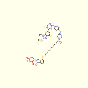 Cc1nc2c(F)cc(-c3nc(Nc4ccc(CN5CCN(C(=O)CCCCCCCCCCSc6cccc7c6CN(C6CCC(=O)NC6=O)C7=O)CC5)cn4)ncc3F)cc2n1C(C)C